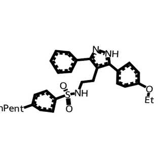 CCCCCc1ccc(S(=O)(=O)NCCc2c(-c3ccccc3)n[nH]c2-c2ccc(OCC)cc2)cc1